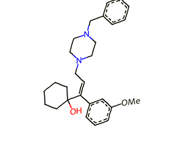 COc1cccc(C(=CCN2CCN(Cc3ccccc3)CC2)C2(O)CCCCC2)c1